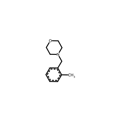 Cc1ccc[c]c1CN1CCOCC1